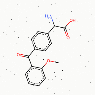 COc1ccccc1C(=O)c1ccc(C(N)C(=O)O)cc1